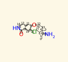 CC[C@H](N)C1(C)CCC(Oc2cc3cc[nH]c(=O)c3cc2Cl)CC1